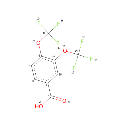 O=C(O)c1ccc(OC(F)(F)F)c(OC(F)(F)F)c1